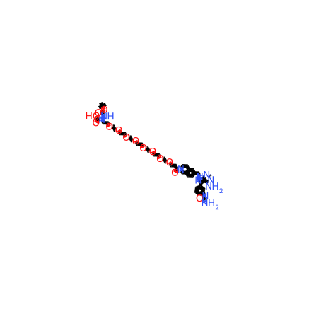 CC(C)(C)OC(=O)NN(CCOCCOCCOCCOCCOCCOCCOCCOCCC(=O)N1CCc2cc(Cn3nc(-c4ccc5oc(N)nc5c4)c4c(N)ncnc43)ccc2C1)C(=O)O